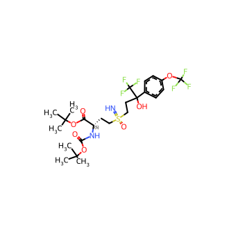 CC(C)(C)OC(=O)N[C@@H](CCS(=N)(=O)CCC(O)(c1ccc(OC(F)(F)F)cc1)C(F)(F)F)C(=O)OC(C)(C)C